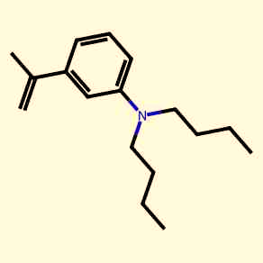 C=C(C)c1cccc(N(CCCC)CCCC)c1